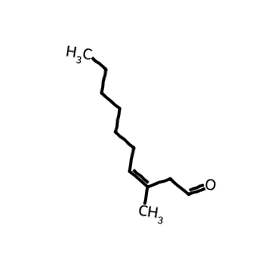 CCCCCCC=C(C)CC=O